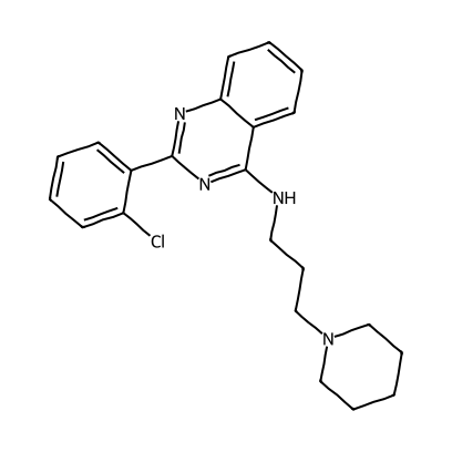 Clc1ccccc1-c1nc(NCCCN2CCCCC2)c2ccccc2n1